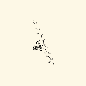 CCCCCCCCC(CCCCCCC)P(=O)([O-])[O-].[Co+2]